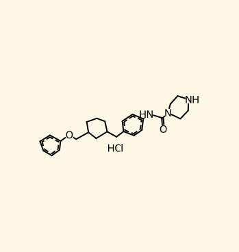 Cl.O=C(Nc1ccc(CC2CCCC(COc3ccccc3)C2)cc1)N1CCNCC1